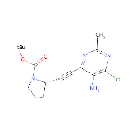 Cc1nc(Cl)c(N)c(C#C[C@@H]2CCCN2C(=O)OC(C)(C)C)n1